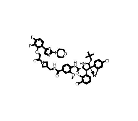 COc1cc(C(=O)NCC2CN(C(=O)COc3c(-c4csc(N5CCOCC5)n4)ccc(F)c3F)C2)ccc1NC(=O)[C@@H]1N[C@@H](CC(C)(C)C)[C@](C#N)(c2ccc(Cl)cc2F)[C@H]1c1cccc(Cl)c1F